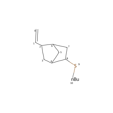 C=CC1CC2CC1CC2SCCCC